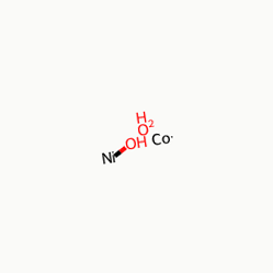 O.[Co].[OH][Ni]